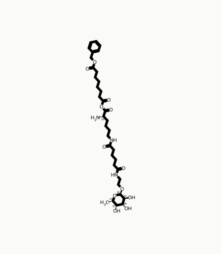 C[C@@H]1O[C@@H](OCCNC(=O)CCCCC(=O)NCCCC[C@H](N)C(=O)OC(=O)CCCCCCC(=O)OCc2ccccc2)[C@@H](O)[C@H](O)[C@@H]1O